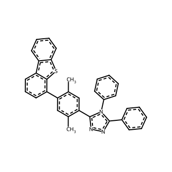 Cc1cc(-c2nnc(-c3ccccc3)n2-c2ccccc2)c(C)cc1-c1cccc2c1sc1ccccc12